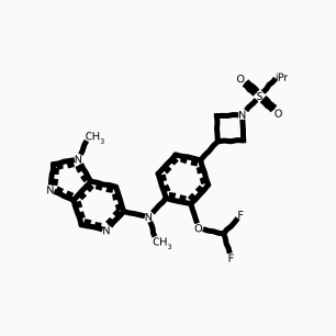 CC(C)S(=O)(=O)N1CC(c2ccc(N(C)c3cc4c(cn3)ncn4C)c(OC(F)F)c2)C1